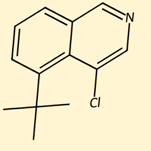 CC(C)(C)c1cccc2cncc(Cl)c12